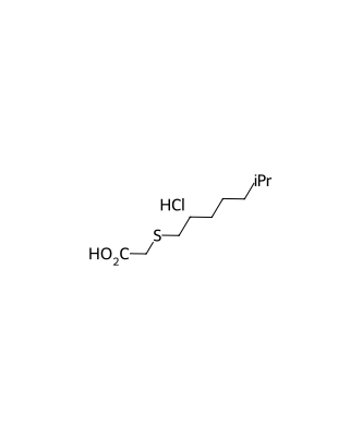 CC(C)CCCCCSCC(=O)O.Cl